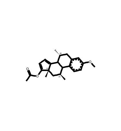 COc1ccc2c(c1)C[C@@H](C)C1C3=CC=C(OC(C)=O)[C@@]3(C)C[C@H](C)C21